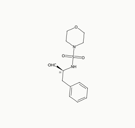 O=[C][C@H](Cc1ccccc1)NS(=O)(=O)N1CCOCC1